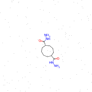 NNC(=O)C1CCCCC(C(=O)NN)CCC1